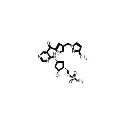 Cc1ccn(Cc2csc(C(=O)c3cncnc3N[C@@H]3C[C@H](COS(N)(=O)=O)[C@@H](O)C3)c2)n1